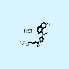 COCCCC(=O)N1CCC(Nc2cccc3c2CNCC3)C1.Cl